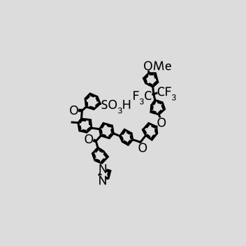 COc1ccc(C(c2ccc(Oc3ccc(C(=O)c4ccc(-c5ccc(-c6ccc(C)c(C(=O)c7cccc(S(=O)(=O)O)c7)c6)c(C(=O)c6ccc(-n7ccnc7)cc6)c5)cc4)cc3)cc2)(C(F)(F)F)C(F)(F)F)cc1